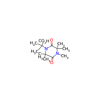 CN1C(=O)C(C)(C)N(C(C)(C)C(=O)O)C(=O)C1(C)C